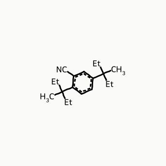 CCC(C)(CC)c1ccc(C(C)(CC)CC)c(C#N)c1